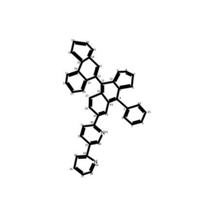 c1ccc(-c2c3ccccc3c(-c3cc4ccccc4c4ccccc34)c3ccc(-c4ccc(-c5ccccn5)cn4)cc23)cc1